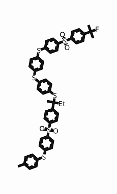 CCC(C)(Sc1ccc(Sc2ccc(Sc3ccc(S(=O)(=O)c4ccc(C(C)(C)F)cc4)cc3)cc2)cc1)c1ccc(S(=O)(=O)c2ccc(Sc3ccc(C)cc3)cc2)cc1